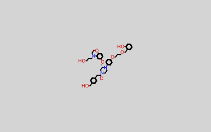 O=C(Cc1ccc(CO)cc1)N1CCN(c2ccc(OCCCOCc3ccccc3O)cc2)[C@@H](COc2ccc3c(c2)N(CCCO)CCO3)C1